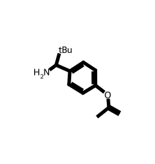 C=C(C)Oc1ccc(C(N)C(C)(C)C)cc1